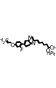 C=CCOc1ccc(-c2ccc3nc(C=CCCCC(C)OCCCCC)cnc3c2)c(F)c1